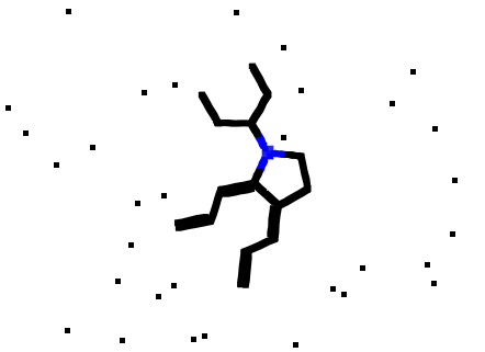 C=C/C=C1/CCN(C(CC)CC)/C1=C/C=C